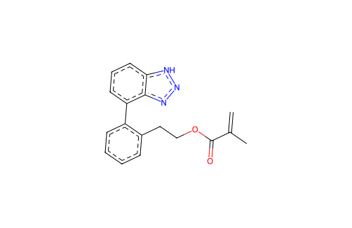 C=C(C)C(=O)OCCc1ccccc1-c1cccc2[nH]nnc12